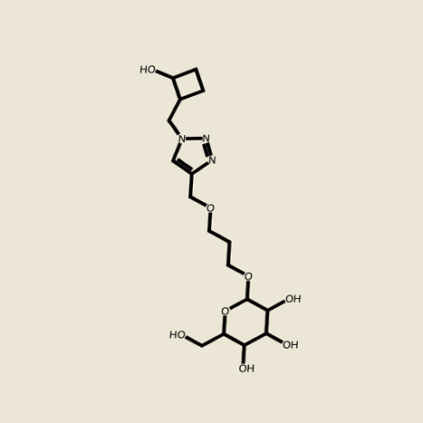 OCC1OC(OCCCOCc2cn(CC3CCC3O)nn2)C(O)C(O)C1O